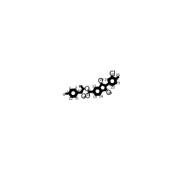 Cc1ccc(C(=O)C(C)OC(=O)c2ccc3c(c2)C(=O)C(c2ccc(C)c(Cl)c2)C3=O)cc1